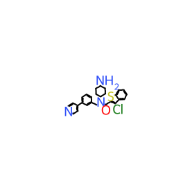 N[C@H]1CC[C@H](N(Cc2cccc(-c3ccncc3)c2)C(=O)c2sc3ccccc3c2Cl)CC1